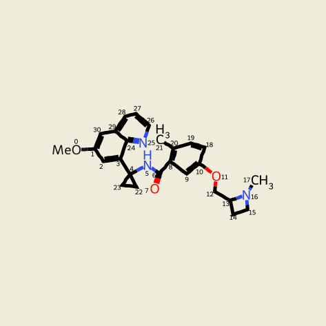 COc1cc(C2(NC(=O)c3cc(OCC4CCN4C)ccc3C)CC2)c2ncccc2c1